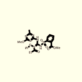 CCC(=O)[N+](OC(C)C)=C(Nc1nc(C)nc(OC)n1)NS(=O)(=O)c1ccccc1C(=O)OC